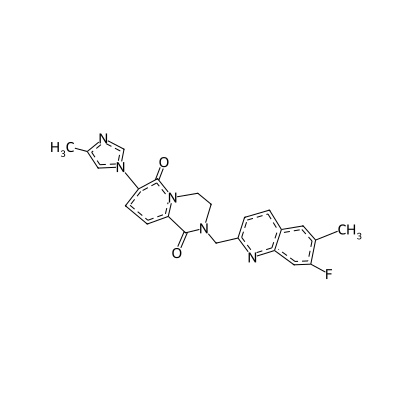 Cc1cn(-c2ccc3n(c2=O)CCN(Cc2ccc4cc(C)c(F)cc4n2)C3=O)cn1